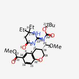 CCC1(CC)CC(=O)N([C@H]2c3cc(C(=O)OC)ccc3OC[C@H]2COC)/C(=N/C(=O)OC(C)(C)C)N1